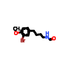 COc1ccc(CCCCNC=O)cc1Br